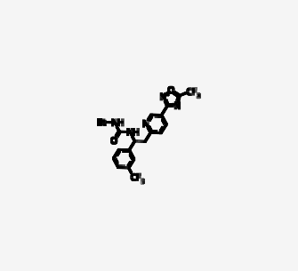 CCNC(=O)NC(Cc1ccc(-c2noc(C(F)(F)F)n2)cn1)c1cccc(C(F)(F)F)c1